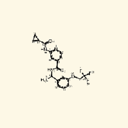 CC(NC(=O)c1ccnc(NC(=O)C2CC2)c1)c1cccc(OCC(F)(F)F)c1